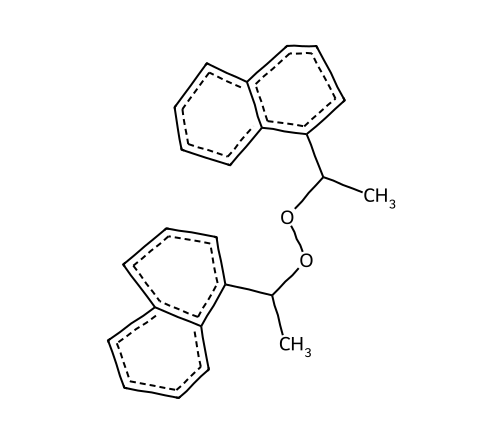 CC(OOC(C)c1cccc2ccccc12)c1cccc2ccccc12